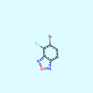 Fc1c(Br)ccc2nonc12